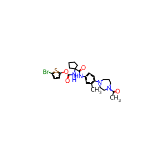 CC(=O)N1CCCN(c2ccc(NC(=O)C3(NC(=O)Oc4ccc(Br)s4)CCCC3)cc2C)CC1